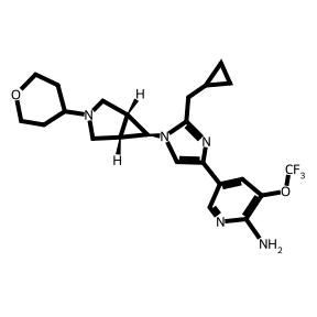 Nc1ncc(-c2cn([C@H]3[C@@H]4CN(C5CCOCC5)C[C@@H]43)c(CC3CC3)n2)cc1OC(F)(F)F